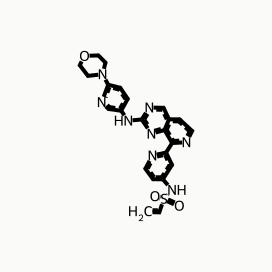 C=CS(=O)(=O)Nc1ccnc(-c2nccc3cnc(Nc4ccc(N5CCOCC5)nc4)nc23)c1